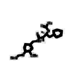 COCOc1ccc(CNC(=S)N[C@](C)(Cc2ccccc2)OC(=O)C(C)(C)C)cc1OC